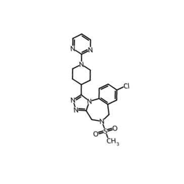 CS(=O)(=O)N1Cc2cc(Cl)ccc2-n2c(nnc2C2CCN(c3ncccn3)CC2)C1